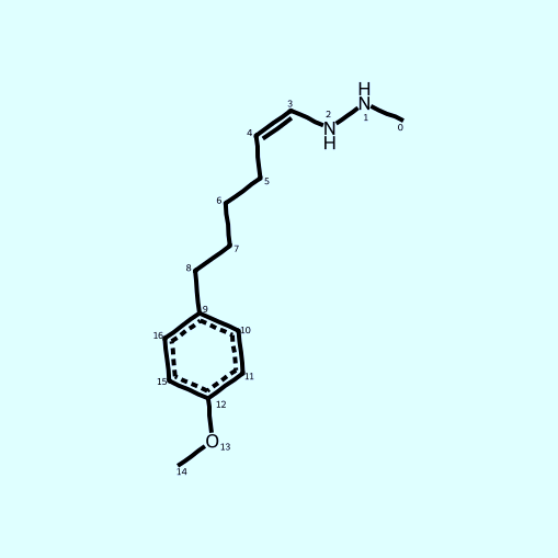 CNN/C=C\CCCCc1ccc(OC)cc1